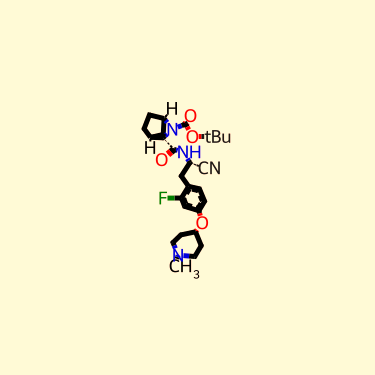 CN1CCC(Oc2ccc(C[C@@H](C#N)NC(=O)[C@@H]3[C@H]4CC[C@H](C4)N3C(=O)OC(C)(C)C)c(F)c2)CC1